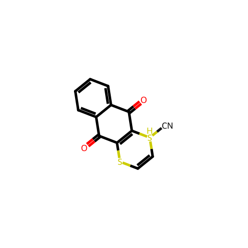 N#C[SH]1C=CSC2=C1C(=O)c1ccccc1C2=O